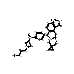 C[C@@H]1Cc2c(ccc3[nH]ncc23)[C@@H](c2ccc(N(C)C3CN(CCCF)C3)nc2)N1CC1(F)CC1